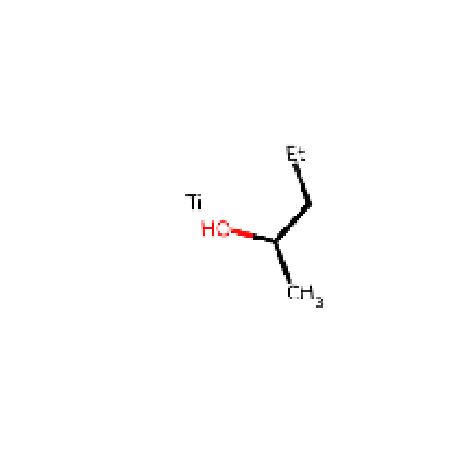 CCCC(C)O.[Ti]